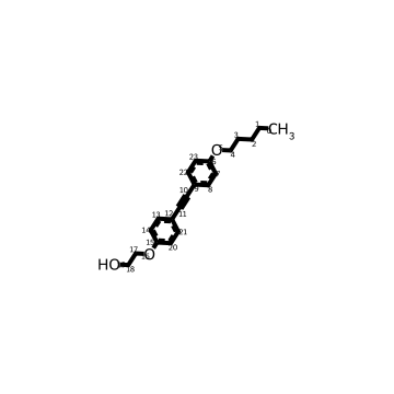 CCCCCOc1ccc(C#Cc2ccc(OCCO)cc2)cc1